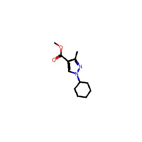 COC(=O)c1cn(C2CCCCC2)nc1C